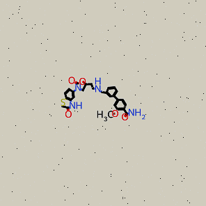 COc1cc(-c2cccc(CNCCC3CN(c4ccc5c(c4)NC(=O)CS5)C(=O)O3)c2)ccc1C(N)=O